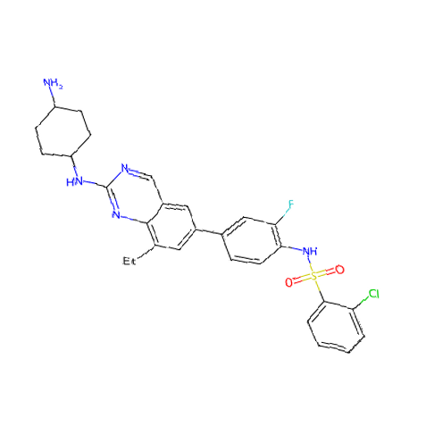 CCc1cc(-c2ccc(NS(=O)(=O)c3ccccc3Cl)c(F)c2)cc2cnc(NC3CCC(N)CC3)nc12